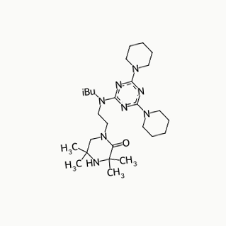 CCC(C)N(CCN1CC(C)(C)NC(C)(C)C1=O)c1nc(N2CCCCC2)nc(N2CCCCC2)n1